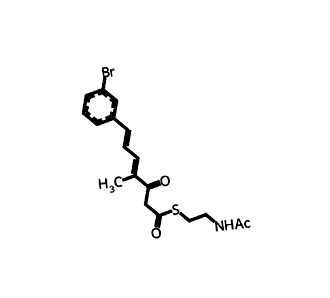 CC(=O)NCCSC(=O)CC(=O)/C(C)=C/C=C/c1cccc(Br)c1